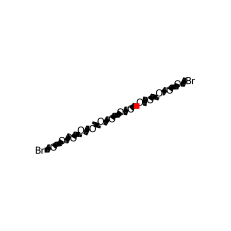 BrCCOCCOCCOCCOCCOCCOCCOCCOCCOCCOCCOCCOCCOCCOCCBr